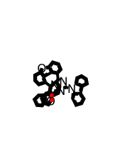 c1ccc(-c2nc(-c3cccc4oc5cccc(-c6cccc7oc8ccccc8c67)c5c34)nc(-n3c4ccccc4c4ccccc43)n2)cc1